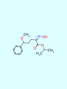 COC(CC/C(=N/O)C(=O)OC(C)C)c1ccccc1